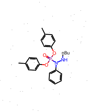 CCCCNN(c1ccccc1)P(=O)(Oc1ccc(C)cc1)Oc1ccc(C)cc1